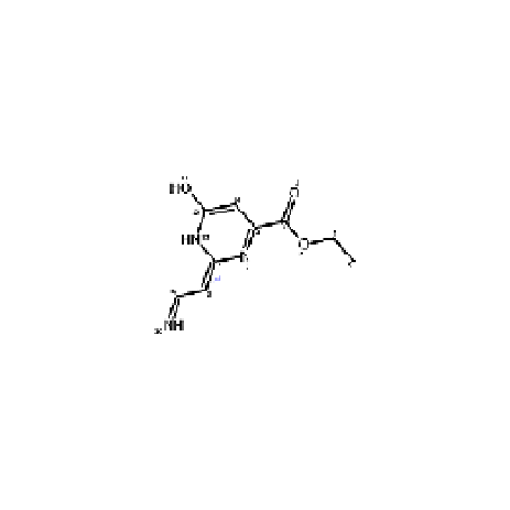 CCOC(=O)C1=N/C(=C/C=N)NC(O)=C1